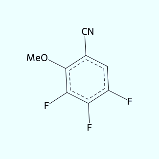 COc1c(C#N)cc(F)c(F)c1F